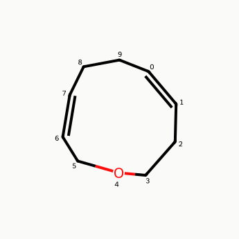 C1=CCCOCC=CCC1